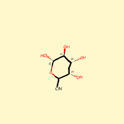 N#CC1O[C@H](O)[C@@H](O)[C@H](O)[C@@H]1O